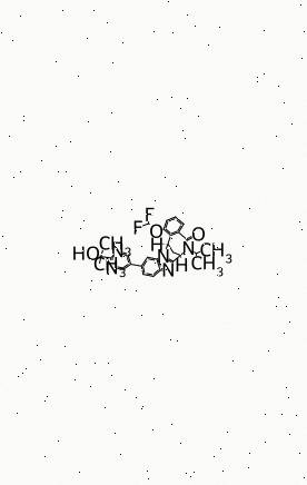 CC(C)N1C(=O)c2cccc(OC(F)F)c2[C@H]2C[C@@H]1c1nc3ccc(-c4cnc(C(C)(C)O)nc4)cc3n12